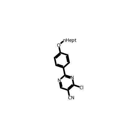 CCCCCCCOc1ccc(-c2ncc(C#N)c(Cl)n2)cc1